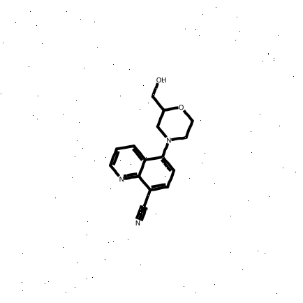 N#Cc1ccc(N2CCOC(CO)C2)c2cccnc12